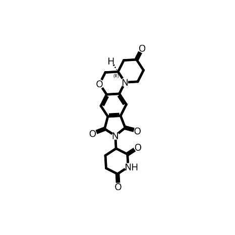 O=C1CCN2c3cc4c(cc3OC[C@H]2C1)C(=O)N(C1CCC(=O)NC1=O)C4=O